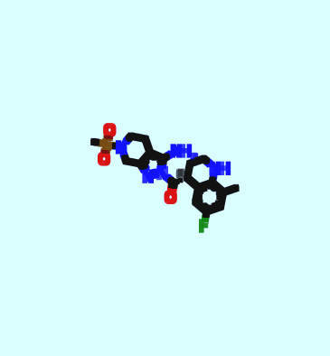 Cc1cc(F)cc2c1NCC[C@H]2C(=O)n1nc2c(c1N)CCN(S(C)(=O)=O)C2